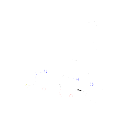 CSc1nnc(C(=O)[C@H](CC(C)C)NC(=O)[C@@H]2CCCCN2CCCCc2ccccc2)o1